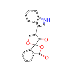 O=C1OC2(OC=C(c3c[nH]c4ccccc34)C2=O)c2ccccc21